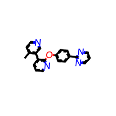 Cc1ccncc1-c1cccnc1Oc1ccc(-c2ncccn2)cc1